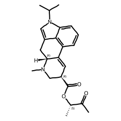 CC(=O)[C@H](C)OC(=O)[C@@H]1C=C2c3cccc4c3c(cn4C(C)C)C[C@H]2N(C)C1